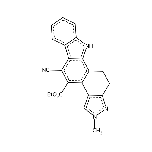 CCOC(=O)c1c2c(c3[nH]c4ccccc4c3c1C#N)CCc1nn(C)cc1-2